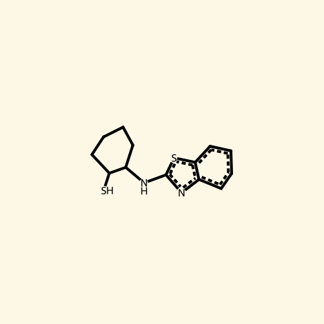 SC1CCCCC1Nc1nc2ccccc2s1